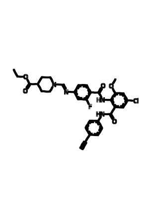 C#Cc1ccc(NC(=O)c2cc(Cl)cc(OC)c2NC(=O)c2ccc(N=CN3CCC(C(=O)OCC)CC3)cc2F)cc1